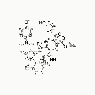 CCc1cccc(CC)c1-n1nc2c(c1-c1c(F)cc(CN(C(=O)OC(C)(C)C)C(C(=O)NCC(=O)O)C(C)C)c3[nH]ccc13)CN(c1ncc(C(F)(F)F)cn1)CC2